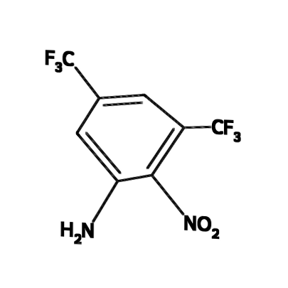 Nc1cc(C(F)(F)F)cc(C(F)(F)F)c1[N+](=O)[O-]